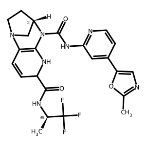 Cc1ncc(-c2ccnc(NC(=O)N3C4=C(C=CC(C(=O)N[C@H](C)C(F)(F)F)N4)N4CC[C@H]3C4)c2)o1